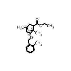 CCOC(=O)C1C[C@@]2(C)C[C@@H](OCc3ccccc3C)[C@]1(C)O2